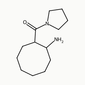 NC1CCCCCCC1C(=O)N1CCCC1